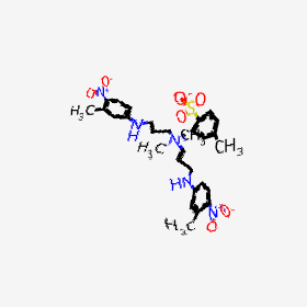 Cc1cc(NCCC[N+](C)(C)CCCNc2ccc([N+](=O)[O-])c(C)c2)ccc1[N+](=O)[O-].Cc1ccc(S(=O)(=O)[O-])cc1